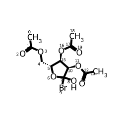 CC(=O)OC[C@H]1OC(O)(Br)[C@H](OC(C)=O)[C@@H]1OC(C)=O